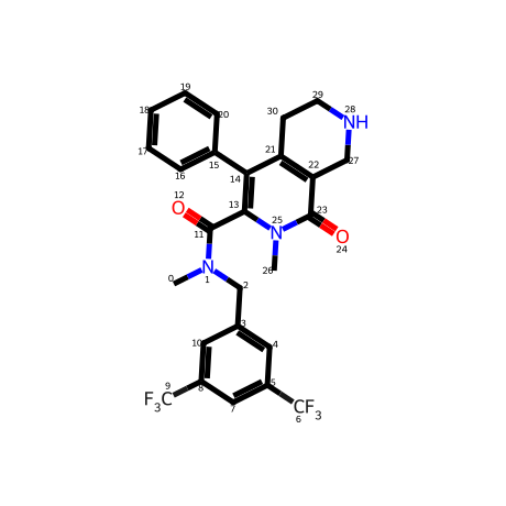 CN(Cc1cc(C(F)(F)F)cc(C(F)(F)F)c1)C(=O)c1c(-c2ccccc2)c2c(c(=O)n1C)CNCC2